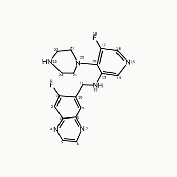 Fc1cc2nccnc2cc1CNc1cncc(F)c1N1CCNCC1